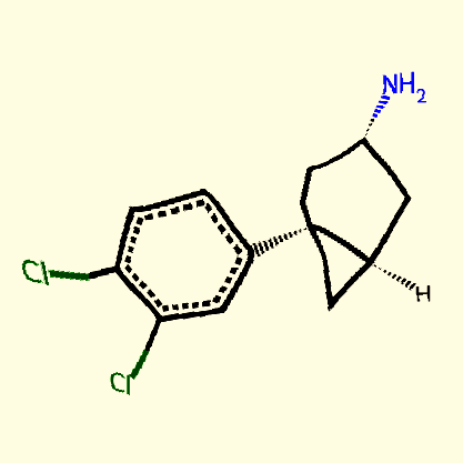 N[C@@H]1C[C@H]2C[C@@]2(c2ccc(Cl)c(Cl)c2)C1